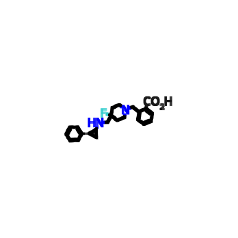 O=C(O)c1ccccc1CN1CCC(F)(CN[C@H]2C[C@@H]2c2ccccc2)CC1